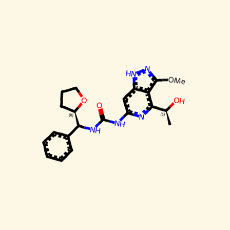 COc1n[nH]c2cc(NC(=O)NC(c3ccccc3)[C@H]3CCCO3)nc([C@H](C)O)c12